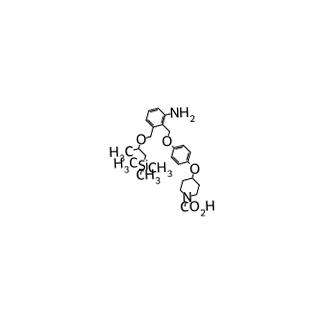 CC(C[Si](C)(C)C)OCc1cccc(N)c1COc1ccc(OC2CCN(C(=O)O)CC2)cc1